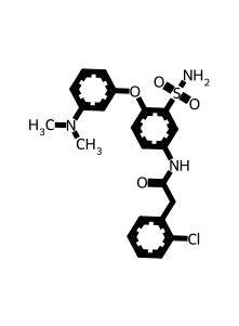 CN(C)c1cccc(Oc2ccc(NC(=O)Cc3ccccc3Cl)cc2S(N)(=O)=O)c1